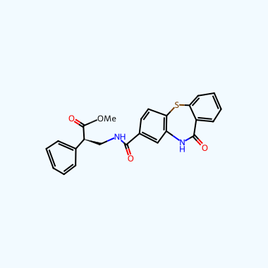 COC(=O)[C@@H](CNC(=O)c1ccc2c(c1)NC(=O)c1ccccc1S2)c1ccccc1